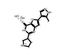 Cc1[nH]ncc1-c1cc2nc(C3CCNC3)[nH]c(=O)c2s1.Cl.Cl